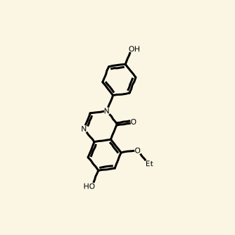 CCOc1cc(O)cc2ncn(-c3ccc(O)cc3)c(=O)c12